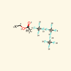 CC(=O)O[CH2][K].F[B-](F)(F)F.F[B-](F)(F)F.F[B-](F)(F)F